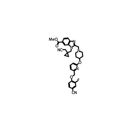 COC(=O)c1ccc2nc(CN3CCC(Oc4cccc(COc5ccc(C#N)cc5F)n4)CC3)n(CC3(CC#N)CC3)c2c1